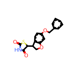 O=C1NC(=O)C(C2COc3cc(OCc4ccccc4)ccc32)S1